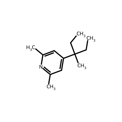 CCC(C)(CC)c1cc(C)nc(C)c1